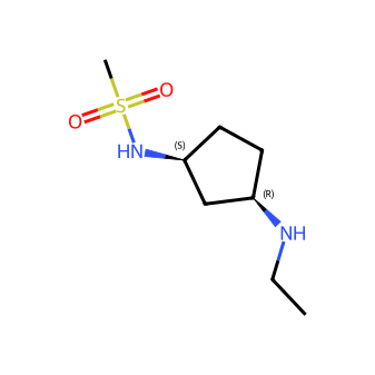 CCN[C@@H]1CC[C@H](NS(C)(=O)=O)C1